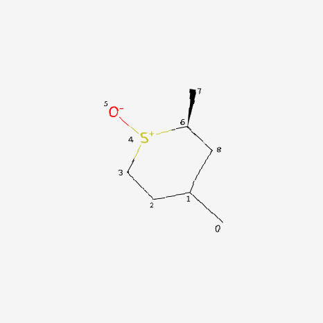 CC1CC[S+]([O-])[C@@H](C)C1